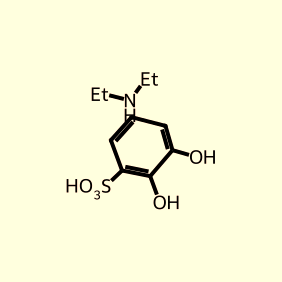 CCNCC.O=S(=O)(O)c1cccc(O)c1O